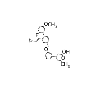 CCC[C@H](CC(=O)O)c1cccc(OCc2ccc(-c3cc(OC)ccc3F)c(/C=C/C3CC3)c2)c1